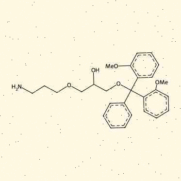 COc1ccccc1C(OCC(O)COCCCN)(c1ccccc1)c1ccccc1OC